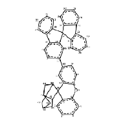 c1ccc2c(c1)Oc1ccc(-c3ccc4c(c3)C3(c5ccccc5-c5ccccc53)c3ccccc3-4)cc1C21C2CC3CC(C2)C1C3